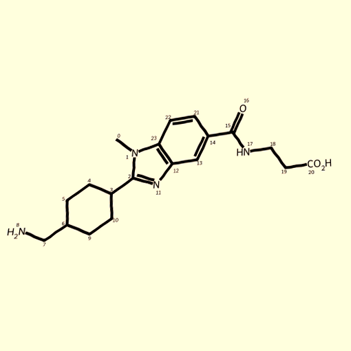 Cn1c(C2CCC(CN)CC2)nc2cc(C(=O)NCCC(=O)O)ccc21